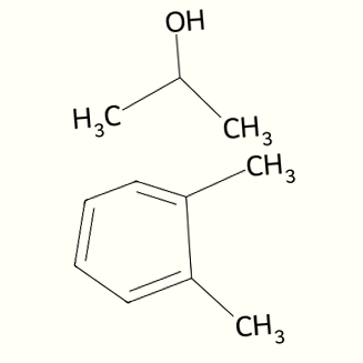 CC(C)O.Cc1ccccc1C